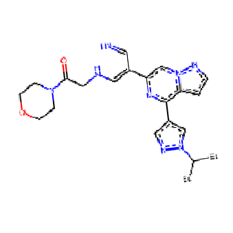 CCC(CC)n1cc(-c2nc(/C(C=N)=C/NCC(=O)N3CCOCC3)cn3nccc23)cn1